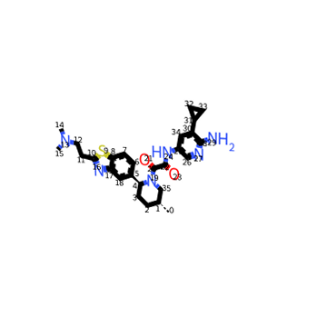 C[C@@H]1CC[C@@H](c2ccc3sc(CCN(C)C)nc3c2)N(C(=O)C(=O)Nc2cnc(N)c(C3CC3)c2)C1